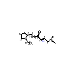 CN(C)C/C=C/C(=O)NCC1CCCN1C(C)(C)C